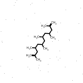 C=C(C)CC(C)CC(C)CC(C)CC(C)CC(=C)C